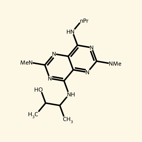 CCCNc1nc(NC)nc2c(NC(C)C(C)O)nc(NC)nc12